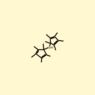 CC1=C(C)[C](C)([Sm][C]2(C)C(C)=C(C)C(C)=C2C)C(C)=C1C